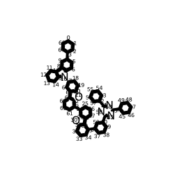 c1ccc(-c2ccc3c(c2)c2ccccc2n3-c2ccc3oc4c(-c5cccc6c5oc5cccc(-c7cccc(-c8nc(-c9ccccc9)nc(-c9ccccc9)n8)c7)c56)cccc4c3c2)cc1